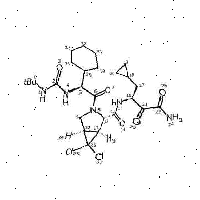 CC(C)(C)NC(=O)N[C@H](C(=O)N1C[C@H]2[C@@H]([C@H]1C(=O)N[C@@H](CC1CC1)C(=O)C(N)=O)C2(Cl)Cl)C1CCCCC1